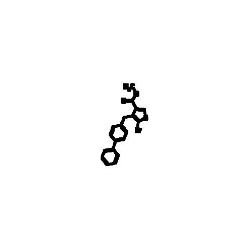 COC(=O)c1csc(Br)c1Cc1ccc(-c2ccccc2)cc1